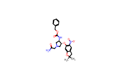 CC1(C)Cc2cc([N+](=O)[O-])c(O[C@@H]3CN(CC(N)=O)C[C@H]3NC(=O)OCc3ccccc3)cc2O1